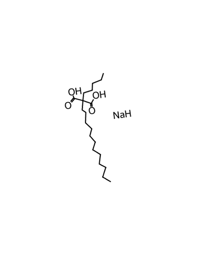 CCCCCCCCCCCCC(CCCCC)(C(=O)O)C(=O)O.[NaH]